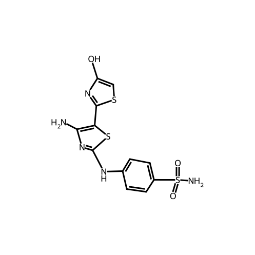 Nc1nc(Nc2ccc(S(N)(=O)=O)cc2)sc1-c1nc(O)cs1